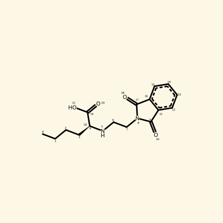 CCCC[C@H](NCCN1C(=O)c2ccccc2C1=O)C(=O)O